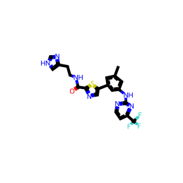 Cc1cc(Nc2nccc(C(F)(F)F)n2)cc(-c2cnc(C(=O)NCCc3c[nH]cn3)s2)c1